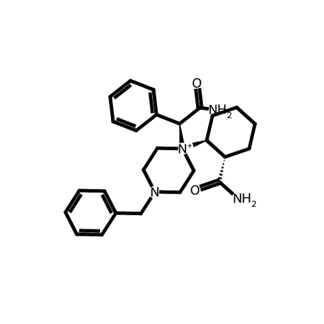 NC(=O)[C@H]1CCCC[C@@H]1[N+]1([C@H](C(N)=O)c2ccccc2)CCN(Cc2ccccc2)CC1